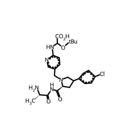 C[C@H](N)C(=O)NC(=O)[C@@H]1CC(c2ccc(Cl)cc2)CN1Cc1ccc(NC(OC(C)(C)C)C(=O)O)nc1